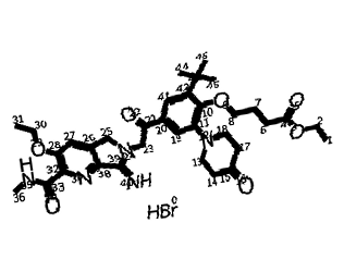 Br.CCOC(=O)CCCOc1c(N2CCC(=O)CC2)cc(C(=O)CN2Cc3cc(OCC)c(C(=O)NC)nc3C2=N)cc1C(C)(C)C